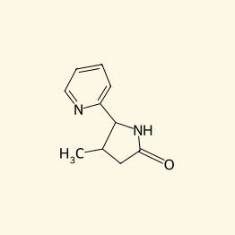 CC1CC(=O)NC1c1ccccn1